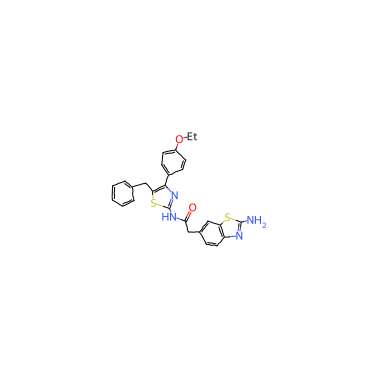 CCOc1ccc(-c2nc(NC(=O)Cc3ccc4nc(N)sc4c3)sc2Cc2ccccc2)cc1